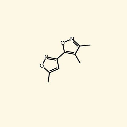 Cc1cc(-c2onc(C)c2C)no1